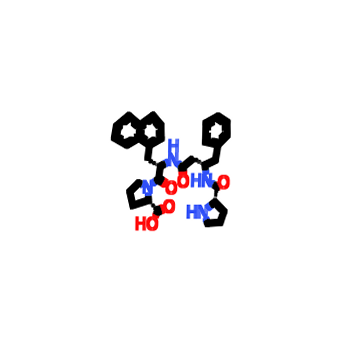 O=C(C[C@H](Cc1ccccc1)NC(=O)[C@@H]1CCCN1)N[C@@H](Cc1cccc2ccccc12)C(=O)N1CCC[C@H]1C(=O)O